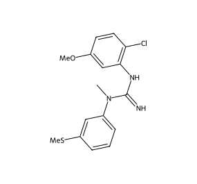 COc1ccc(Cl)c(NC(=N)N(C)c2cccc(SC)c2)c1